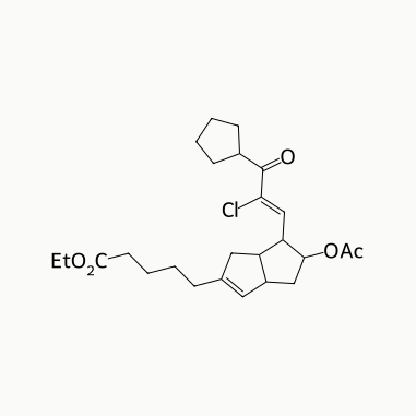 CCOC(=O)CCCCC1=CC2CC(OC(C)=O)C(C=C(Cl)C(=O)C3CCCC3)C2C1